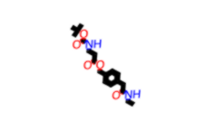 CCNC(=O)Cc1ccc(COC(=O)CCNC(=O)OC(C)(C)C)cc1